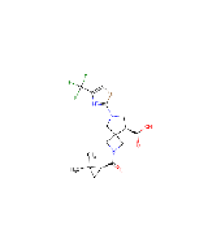 CC1(C)C[C@@H]1C(=O)N1CC2(C1)CN(c1nc(C(F)(F)F)cs1)C[C@H]2C(=O)O